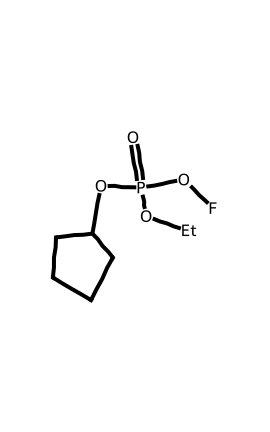 CCOP(=O)(OF)OC1CCCC1